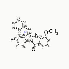 COc1cccc2c(=O)n3c(nc12)/c(=C/c1ccccc1)c1cc(F)ccc13